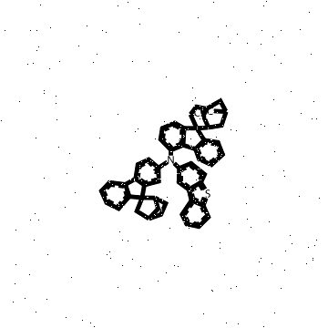 c1ccc2c(c1)-c1ccc(N(c3ccc4sc5ccccc5c4c3)c3cccc4c3-c3ccccc3C43C4CCC5CC(C4)CC3C5)cc1C21CC2CCC1C2